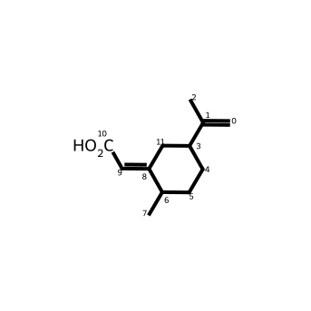 C=C(C)C1CCC(C)C(=CC(=O)O)C1